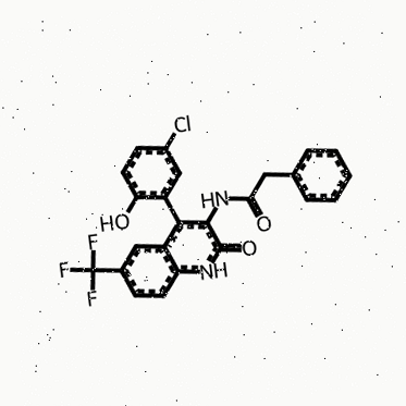 O=C(Cc1ccccc1)Nc1c(-c2cc(Cl)ccc2O)c2cc(C(F)(F)F)ccc2[nH]c1=O